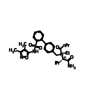 CCCC(=O)[N+](CC)(Cc1ccc(-c2ccccc2S(=O)(=O)Nc2onc(C)c2C)cc1)[C@H](C(N)=O)C(C)C